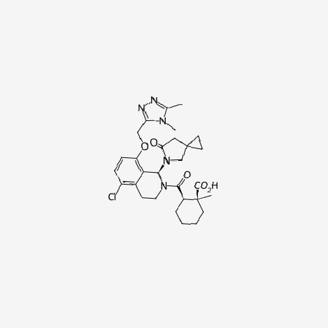 Cc1nnc(COc2ccc(Cl)c3c2[C@@H](N2CC4(CC4)CC2=O)N(C(=O)[C@@H]2CCCC[C@]2(C)C(=O)O)CC3)n1C